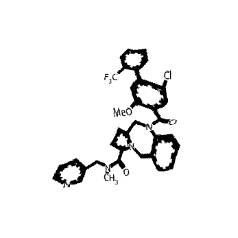 COc1cc(-c2ccccc2C(F)(F)F)c(Cl)cc1C(=O)N1Cc2ccc(C(=O)N(C)Cc3cccnc3)n2Cc2ccccc21